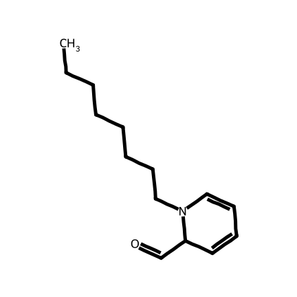 CCCCCCCCN1C=CC=CC1C=O